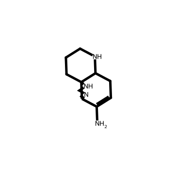 NC1=CCC2NCCCC23NCN=C13